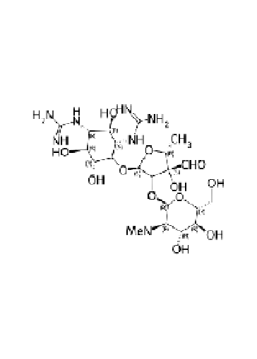 CN[C@H]1[C@@H](OC2[C@@H](OC3[C@@H](NC(=N)N)[C@H](O)[C@@H](NC(=N)N)[C@H](O)[C@H]3O)O[C@H](C)[C@@]2(O)C=O)O[C@H](CO)[C@@H](O)[C@@H]1O